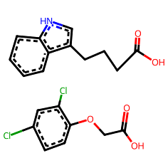 O=C(O)CCCc1c[nH]c2ccccc12.O=C(O)COc1ccc(Cl)cc1Cl